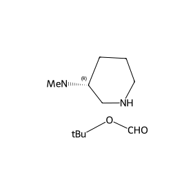 CC(C)(C)OC=O.CN[C@@H]1CCCNC1